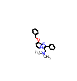 CN(C)Cc1c(-c2ccccc2)nc2c(OCc3ccccc3)cccn12